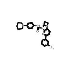 O=C(Nc1ccc(N2CCCCC2)cc1)N1c2nc(-c3cccc(C(F)(F)F)c3)ccc2N2CCC21